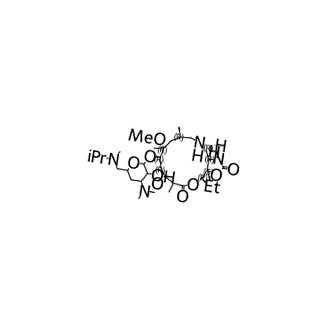 CC[C@H]1OC(=O)C(C)C(=O)[C@H](C)[C@@H](OC2OC(CN(C)C(C)C)CC(N(C)C)C2O)[C@](C)(OC)C[C@@H](C)CN[C@H](C)[C@H]2NC(=O)O[C@@]21C